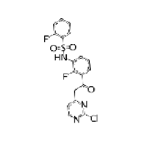 O=C(Cc1ccnc(Cl)n1)c1cccc(NS(=O)(=O)c2ccccc2F)c1F